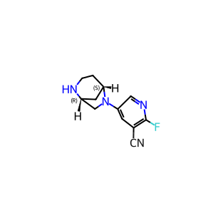 N#Cc1cc(N2C[C@H]3C[C@@H]2CCN3)cnc1F